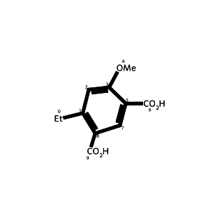 CCc1cc(OC)c(C(=O)O)cc1C(=O)O